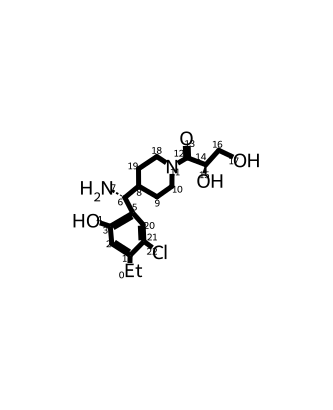 CCc1cc(O)c([C@H](N)C2CCN(C(=O)[C@H](O)CO)CC2)cc1Cl